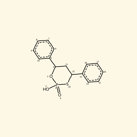 O=P1(O)OC(c2ccccc2)CC(c2ccccc2)S1